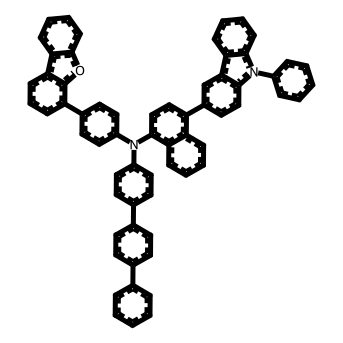 c1ccc(-c2ccc(-c3ccc(N(c4ccc(-c5cccc6c5oc5ccccc56)cc4)c4ccc(-c5ccc6c(c5)c5ccccc5n6-c5ccccc5)c5ccccc45)cc3)cc2)cc1